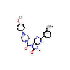 CCOc1ccc(N2CCN(C(=O)n3c(=O)n(C)c4nc(-c5cccc(OC)c5)ncc43)CC2)cc1